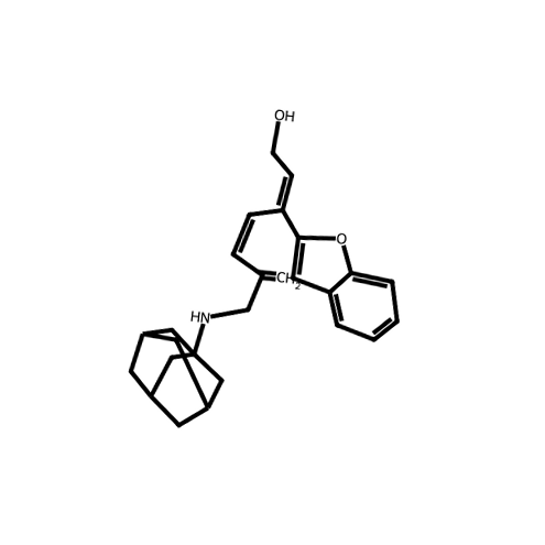 C=C(/C=C\C(=C/CO)c1cc2ccccc2o1)CNC12CC3CC(CC(C3)C1)C2